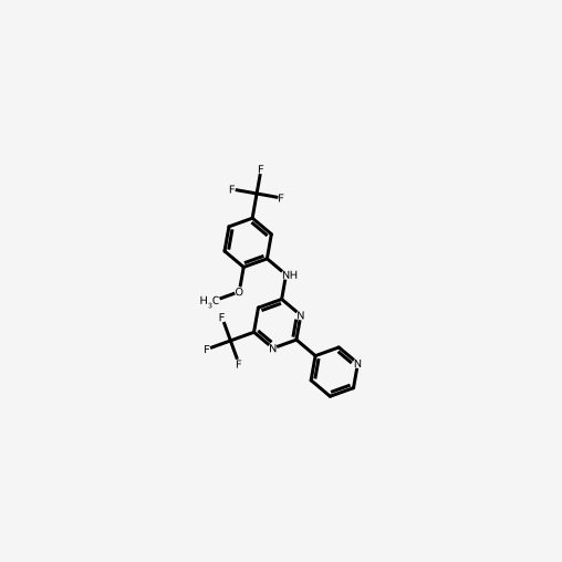 COc1ccc(C(F)(F)F)cc1Nc1cc(C(F)(F)F)nc(-c2cccnc2)n1